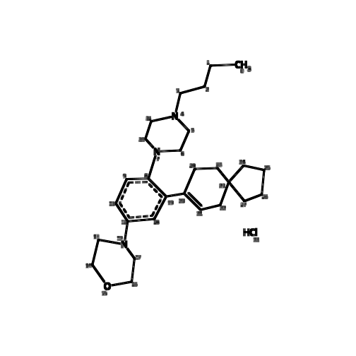 CCCCN1CCN(c2ccc(N3CCOCC3)cc2C2=CCC3(CCCC3)CC2)CC1.Cl